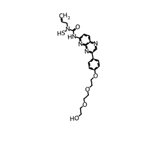 C=CCN(S)C(=O)Nc1ccc2ncc(-c3ccc(OCCOCCOCCO)cc3)nc2n1